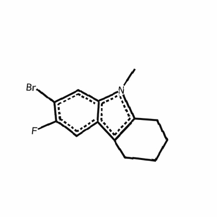 Cn1c2c(c3cc(F)c(Br)cc31)CCCC2